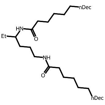 [CH2]CC(CCCNC(=O)CCCCCCCCCCCCCCC)NC(=O)CCCCCCCCCCCCCCC